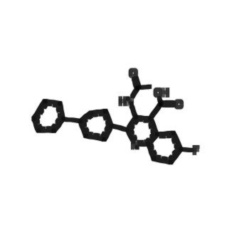 CC(=O)Nc1c(-c2ccc(-c3ccccc3)cc2)nc2ccc(F)cc2c1C(=O)O